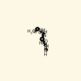 COc1cccc(NC(=O)Nc2cnn(-c3cccc(C(=O)Nc4cnn(C5CCNC5)c4)c3)c2)c1